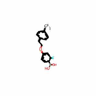 OB(O)c1ccc(OCCc2ccc(C(F)(F)F)cc2)cc1F